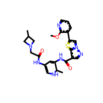 COc1ncccc1-c1cn2ncc(C(=O)NC3=CC(NC(=O)CN4CC(C)C4)=CNC3C)c2s1